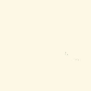 CC(C)(C)n1c2ccccc2c2cc(-c3ccccc3)ccc21